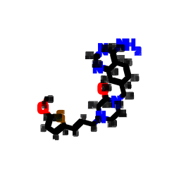 COc1ccc(C=CCN2CCN(Cc3ccc4c(N)ncnc4c3)C(=O)C2)s1